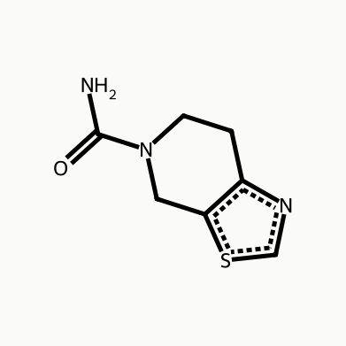 NC(=O)N1CCc2ncsc2C1